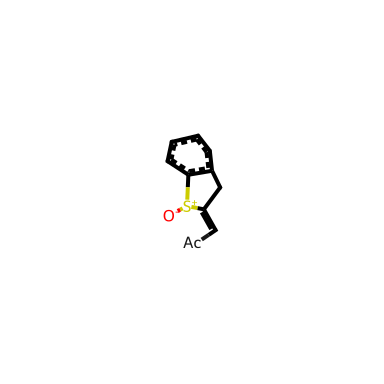 CC(=O)/C=C1/Cc2ccccc2[S+]1[O-]